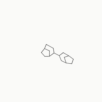 C1CC2CC1CCC2C1CC2CCC(C2)C1